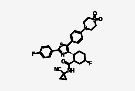 N#CC1(NC(=O)[C@@H]2C[C@H](F)CC[C@H]2c2nc(-c3ccc(F)cc3)sc2-c2ccc(N3CCS(=O)(=O)CC3)cc2)CC1